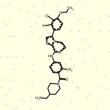 CCOc1ccc(-c2cnc3c(Nc4ccc(C(=O)N5CCC(CN)CC5)c(C)c4)nccn23)c(F)c1Cl